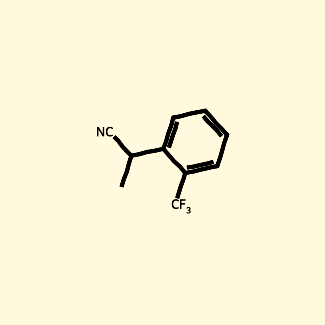 CC(C#N)c1ccccc1C(F)(F)F